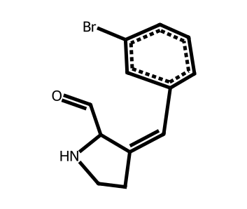 O=CC1NCCC1=Cc1cccc(Br)c1